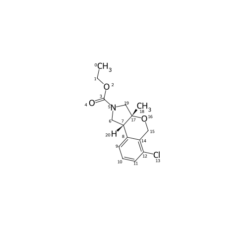 CCOC(=O)N1C[C@H]2c3cccc(Cl)c3CO[C@@]2(C)C1